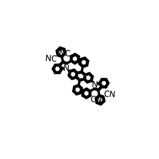 N#Cc1ccccc1-c1c(-c2ccccc2C#N)n(-c2ccc3c(-c4ccccc4)c4cc(-n5c(-c6ccccc6C#N)c(-c6ccccc6C#N)c6ccccc65)ccc4c(-c4ccccc4)c3c2)c2ccccc12